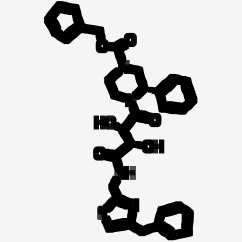 O=C(NCc1nc(Cc2ccccc2)cs1)[C@H](O)[C@@H](O)C(=O)N1CCN(C(=O)OCc2ccccc2)C[C@@H]1c1ccccc1